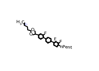 C/C=C/CCC1OCC(c2ccc(-c3ccc(-c4ccc(CCCCC)c(F)c4F)cc3)c(F)c2)CO1